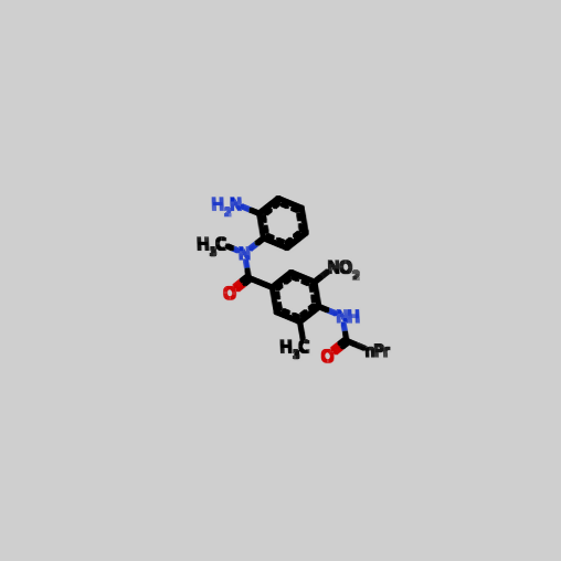 CCCC(=O)Nc1c(C)cc(C(=O)N(C)c2ccccc2N)cc1[N+](=O)[O-]